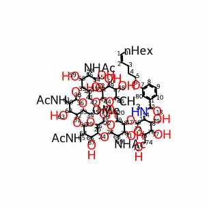 CCCCCC/C=C\CCCOc1cccc(C(=O)NC2C(OC3C(CO)OC(OC4C(CO)OC(OC5C(COC)OC(OC6C(COC7OC(C)C(O)C(O)C7O)OC(O)C(NC(C)=O)C6O)C(NC(C)=O)C5O)C(NC(C)=O)C4O)C(NC(C)=O)C3O)OC(CO)C(O)C2O)c1